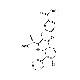 COC(=O)c1cccc(Cc2c(C(=O)OC)[nH]c3c(-c4ccccc4)c(Cl)ccc3c2=O)c1